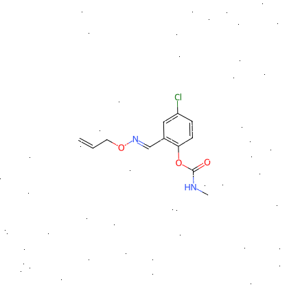 C=CCON=Cc1cc(Cl)ccc1OC(=O)NC